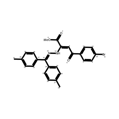 COC(=O)/C(=C/C(=O)c1ccc(Br)cc1)NN=C(c1ccc(C)cc1)c1ccc(C)cc1